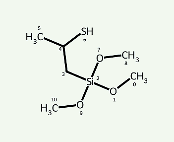 CO[Si](CC(C)S)(OC)OC